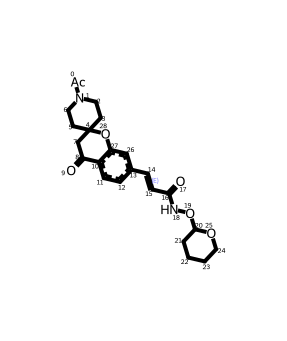 CC(=O)N1CCC2(CC1)CC(=O)c1ccc(/C=C/C(=O)NOC3CCCCO3)cc1O2